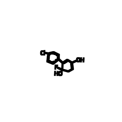 OC1=CCC(O)(F)C(c2ccc(Cl)cc2)=C1